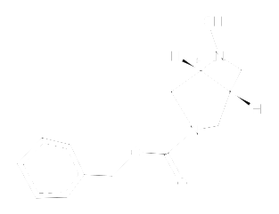 CN1C[C@@H]2CN(C(=O)OCc3ccccc3)C[C@@H]21